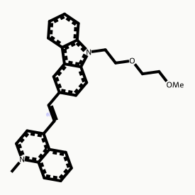 COCCOCCn1c2ccccc2c2cc(/C=C/c3cc[n+](C)c4ccccc34)ccc21